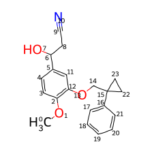 COc1ccc(C(O)CC#N)cc1OCC1(c2ccccc2)CC1